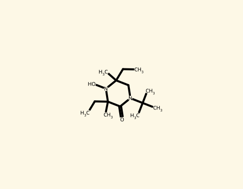 CCC1(C)CN(C(C)(C)C)C(=O)C(C)(CC)N1O